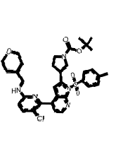 Cc1ccc(S(=O)(=O)n2c(C3CCN(C(=O)OC(C)(C)C)C3)cc3c(-c4nc(NCC5CCOCC5)ccc4Cl)ccnc32)cc1